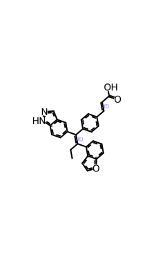 CC/C(=C(/c1ccc(/C=C/C(=O)O)cc1)c1ccc2[nH]ncc2c1)c1cccc2occc12